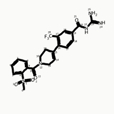 CS(=O)(=O)c1ccccc1C(=O)N1CC=C(c2ccc(C(=O)NC(=N)N)cc2C(F)(F)F)CC1